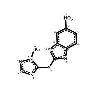 CC(C)(C)n1nnnc1Sc1nc2ccc([N+](=O)[O-])cc2s1